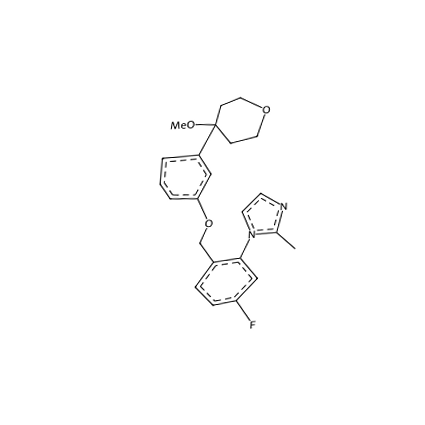 COC1(c2cccc(OCc3ccc(F)cc3-n3ccnc3C)c2)CCOCC1